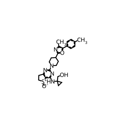 Cc1ccc(-c2oc(C3CCN(c4nc5c(c(NC6(CO)CC6)n4)[S+]([O-])CC5)CC3)nc2C)cc1